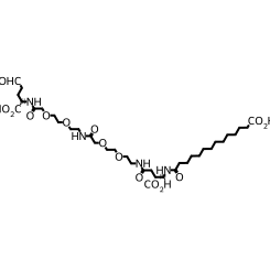 O=[C]CC[C@H](NC(=O)COCCOCCNC(=O)COCCOCCNC(=O)CC[C@H](NC(=O)CCCCCCCCCCCCC(=O)O)C(=O)O)C(=O)O